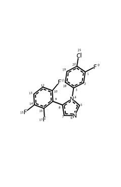 Fc1cc(-n2cncc2-c2c(F)ccc(F)c2F)ccc1Cl